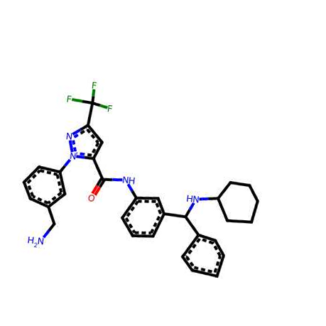 NCc1cccc(-n2nc(C(F)(F)F)cc2C(=O)Nc2cccc(C(NC3CCCCC3)c3ccccc3)c2)c1